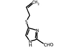 C=CCSc1c[nH]c(C=O)n1